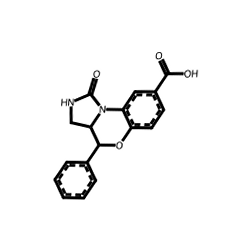 O=C(O)c1ccc2c(c1)N1C(=O)NCC1C(c1ccccc1)O2